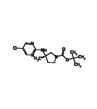 CC(C)(C)OC(=O)N1CC[C@](C)(Nc2ncc(Cl)cn2)C1